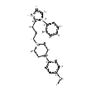 COc1ccc(N2CCN(CCCc3nncn3-c3ccccc3)CC2)cc1